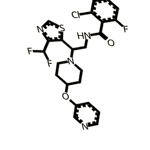 O=C(NCC(c1scnc1C(F)F)N1CCC(Oc2cccnc2)CC1)c1c(F)cccc1Cl